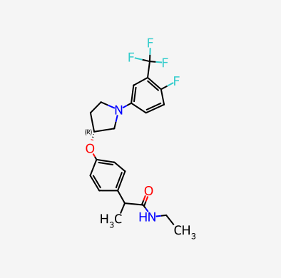 CCNC(=O)C(C)c1ccc(O[C@@H]2CCN(c3ccc(F)c(C(F)(F)F)c3)C2)cc1